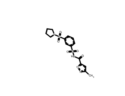 Cc1cc(C(=O)NS(=O)(=O)c2cccc(S(=O)(=O)N3CCCC3)c2)on1